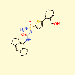 NS(=O)(=NC(=O)Nc1c2c(cc3c1CCC3)CCC2)c1ccc(-c2ccccc2CO)s1